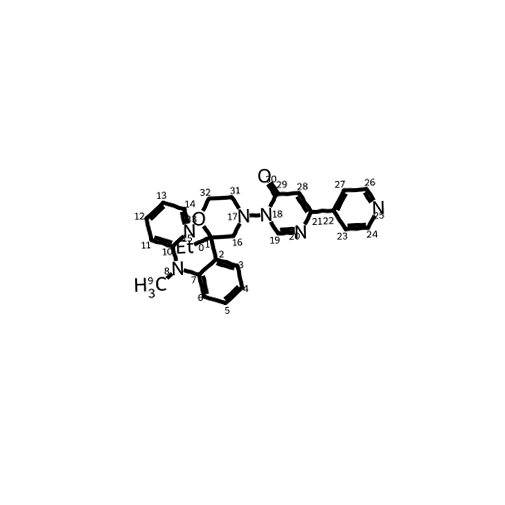 CCC1(c2ccccc2N(C)c2ccccn2)CN(n2cnc(-c3ccncc3)cc2=O)CCO1